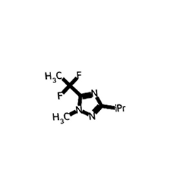 CC(C)c1nc(C(C)(F)F)n(C)n1